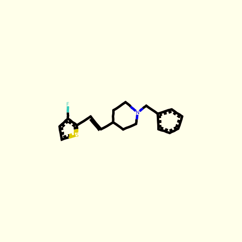 Fc1ccsc1/C=C/C1CCN(Cc2ccccc2)CC1